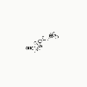 CC1CCCCC1c1cn([C@H]2C[C@H](CNc3ccc4c(c3)C(=O)N(C(CCC=O)C(N)=O)C4=O)C2)nc1C1CC1